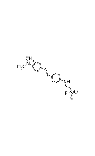 CN(C)c1ccc(/N=N/c2ccc(NCCS(=O)(=O)F)cc2)cc1